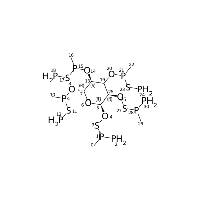 CP(P)SO[C@H]1O[C@H](OP(C)SP)[C@@H](OP(C)SP)C(OP(C)SP)[C@H]1OSP(C)P